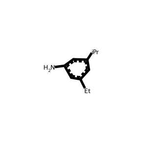 CCc1cc(N)cc(C(C)C)c1